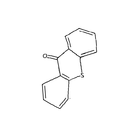 O=c1c2ccc[c]c2sc2ccccc12